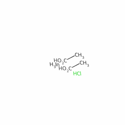 CC(=O)O.CC(=O)O.Cl.[InH3]